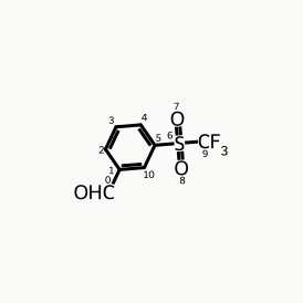 O=Cc1cccc(S(=O)(=O)C(F)(F)F)c1